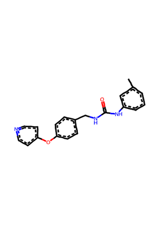 Cc1cccc(NC(=O)NCc2ccc(Oc3ccncc3)cc2)c1